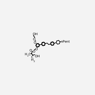 C=C(CO)C(=C)C(=O)OCOc1cc(OCOCCO)cc(-c2ccc(CCc3ccc(C4CCC(CCCCC)CC4)cc3)cc2)c1